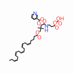 CC/C=C\C/C=C\C/C=C\C/C=C\C/C=C\CCCC(=O)OCC(C)(C)[C@@H](OC(=O)c1cccnc1)C(=O)NCCC(=O)OC(=O)O